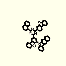 C1=CC2Oc3c(cc(-c4nc(C5=Cc6sc7ccccc7c6CC5)nc(-c5cccc6ccccc56)n4)cc3-n3c4ccccc4c4cc5ccccc5cc43)C2C=C1